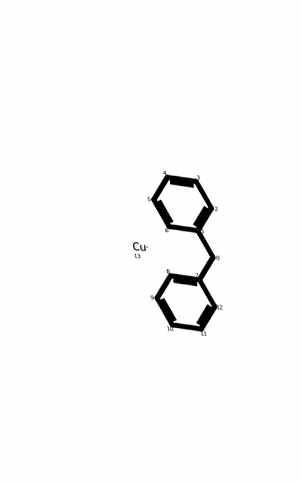 [CH](c1ccccc1)c1ccccc1.[Cu]